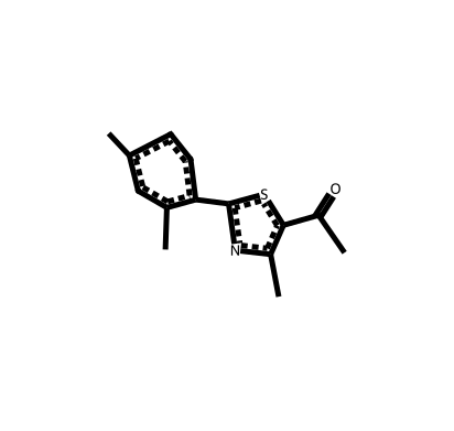 CC(=O)c1sc(-c2ccc(C)cc2C)nc1C